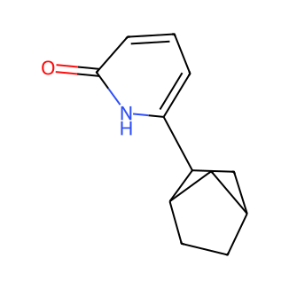 O=c1cccc(C2CC3CCC2C3)[nH]1